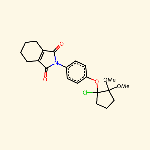 COC1(OC)CCCC1(Cl)Oc1ccc(N2C(=O)C3=C(CCCC3)C2=O)cc1